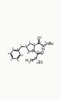 CCCCNC(=O)[C@@H]1C[C@H](Cc2ccccc2)CN1C(=O)[C@@H](N)CC